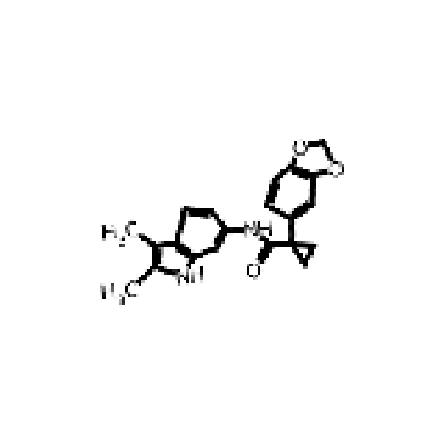 Cc1[nH]c2cc(NC(=O)C3(c4ccc5c(c4)OCO5)CC3)ccc2c1C